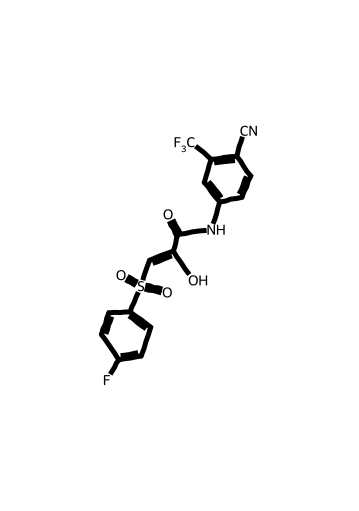 N#Cc1ccc(NC(=O)/C(O)=C/S(=O)(=O)c2ccc(F)cc2)cc1C(F)(F)F